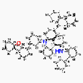 C1=Cc2c(c(-c3ccc(N(c4cccc(-c5cccc6c5oc5ccccc56)c4)c4ccccc4-c4ccccc4Nc4ccccc4-c4ccccc4)cc3)cc3ccccc23)CC1